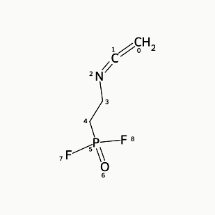 C=C=NCCP(=O)(F)F